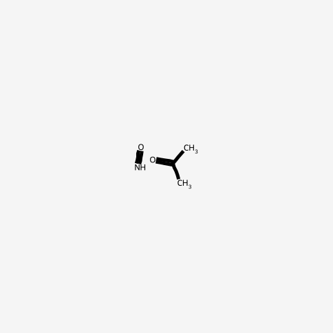 CC(C)=O.N=O